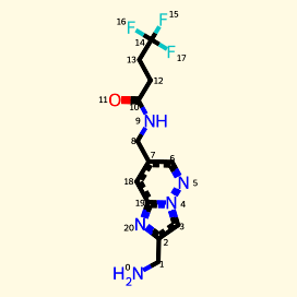 NCc1cn2ncc(CNC(=O)CCC(F)(F)F)cc2n1